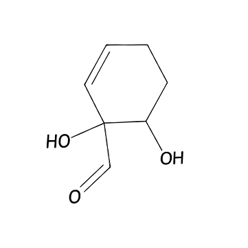 O=CC1(O)C=CCCC1O